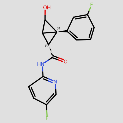 O=C(Nc1ccc(F)cn1)[C@@H]1C2C(O)[C@@]21c1cccc(F)c1